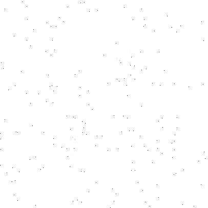 CNC(C=O)CCCCN(C)C